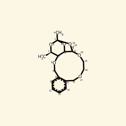 C[C@H]1OC2(C)OC3C1OCc1ccccc1COCCO[C@@H]3O2